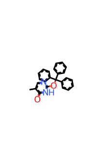 Cc1cnc(OC(c2ccccc2)(c2ccccc2)c2ccccc2)[nH]c1=O